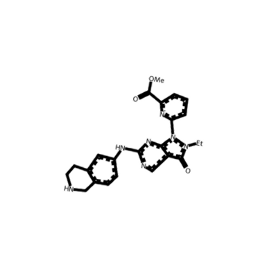 CCn1c(=O)c2cnc(Nc3ccc4c(c3)CCNC4)nc2n1-c1cccc(C(=O)OC)n1